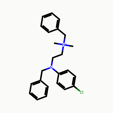 C[N+](C)(CCN(Cc1ccccc1)c1ccc(Cl)cc1)Cc1ccccc1